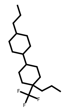 CCCC1CCC(C2CCC(CCC)(C(F)(F)F)CC2)CC1